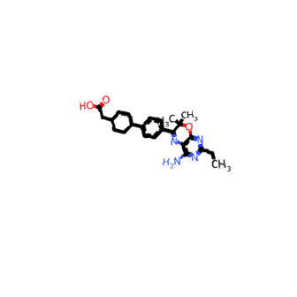 CCc1nc(N)c2c(n1)OC(C)(C)C(c1ccc(C3CCC(CC(=O)O)CC3)cc1)=N2